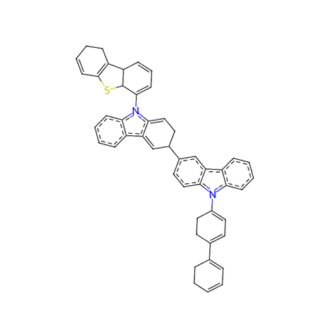 C1=CCCC(C2=CC=C(n3c4ccccc4c4cc(C5C=c6c(n(C7=CC=CC8C9=C(C=CCC9)SC78)c7ccccc67)=CC5)ccc43)CC2)=C1